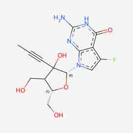 CC#CC1(O)C(CO)[C@@H](CO)O[C@H]1n1cc(F)c2c(=O)[nH]c(N)nc21